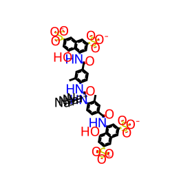 Cc1cc(C(=O)Nc2cc(S(=O)(=O)[O-])cc3cc(S(=O)(=O)[O-])cc(O)c23)ccc1NC(=O)Nc1ccc(C(=O)Nc2cc(S(=O)(=O)[O-])cc3cc(S(=O)(=O)[O-])cc(O)c23)cc1C.[Na+].[Na+].[Na+].[Na+]